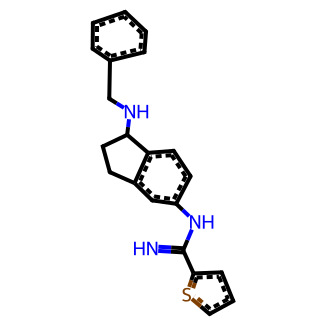 N=C(Nc1ccc2c(c1)CCC2NCc1ccccc1)c1cccs1